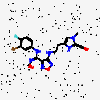 CN1C=C(CCNc2nonc2C(=NO)Nc2ccc(F)c(Br)c2)NC1=C=O